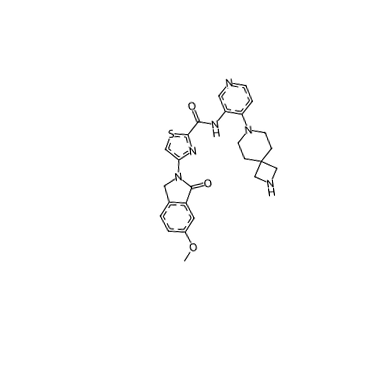 COc1ccc2c(c1)C(=O)N(c1csc(C(=O)Nc3cnccc3N3CCC4(CC3)CNC4)n1)C2